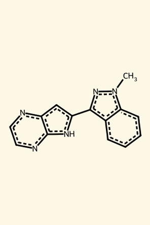 Cn1nc(-c2cc3nccnc3[nH]2)c2ccccc21